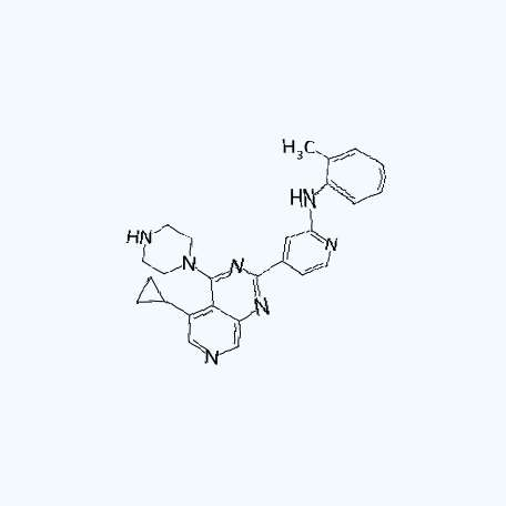 Cc1ccccc1Nc1cc(-c2nc(N3CCNCC3)c3c(C4CC4)cncc3n2)ccn1